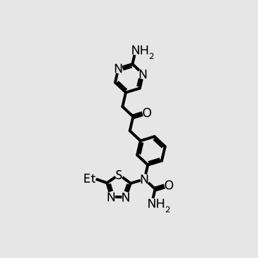 CCc1nnc(N(C(N)=O)c2cccc(CC(=O)Cc3cnc(N)nc3)c2)s1